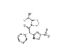 O=C(O)C1CCCN1C(=O)[C@@H](c1ccccc1)c1nc([N+](=O)[O-])c[nH]1